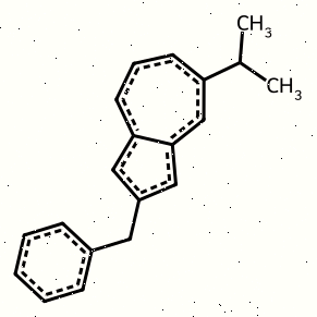 CC(C)c1cccc2cc(Cc3ccccc3)cc-2c1